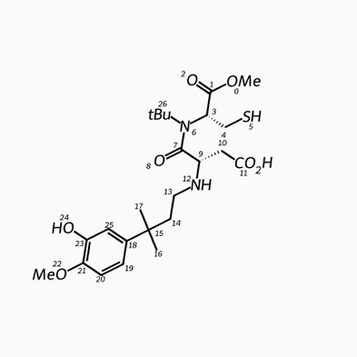 COC(=O)[C@H](CS)N(C(=O)[C@H](CC(=O)O)NCCC(C)(C)c1ccc(OC)c(O)c1)C(C)(C)C